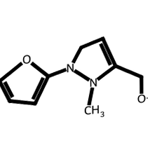 CN1C(C[O])=CCN1c1ccco1